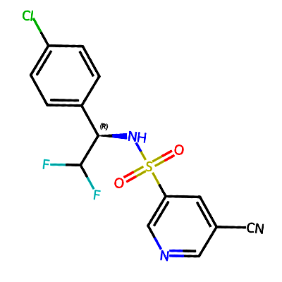 N#Cc1cncc(S(=O)(=O)N[C@H](c2ccc(Cl)cc2)C(F)F)c1